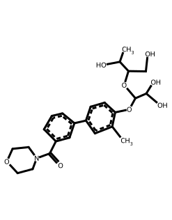 Cc1cc(-c2cccc(C(=O)N3CCOCC3)c2)ccc1OC(OC(CO)C(C)O)C(O)O